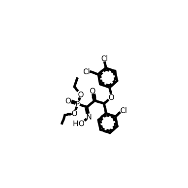 CCOP(=O)(OCC)/C(=N\O)C(=O)C(Oc1ccc(Cl)c(Cl)c1)c1ccccc1Cl